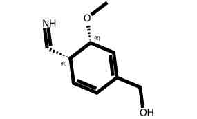 CO[C@@H]1C=C(CO)C=C[C@@H]1C=N